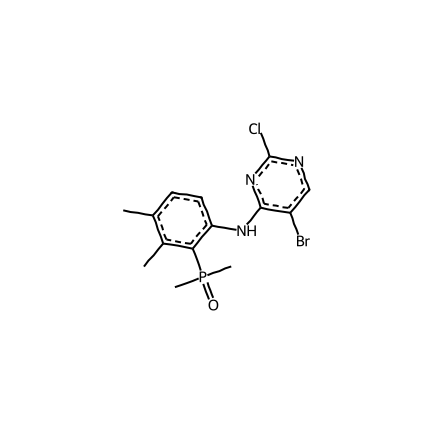 Cc1ccc(Nc2nc(Cl)ncc2Br)c(P(C)(C)=O)c1C